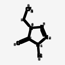 CCn1nnn(CC(F)(F)F)c1=O